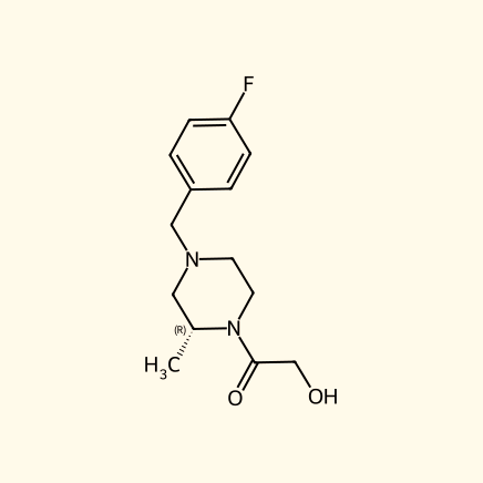 C[C@@H]1CN(Cc2ccc(F)cc2)CCN1C(=O)CO